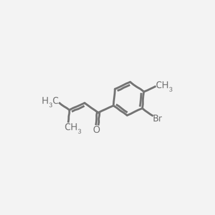 CC(C)=CC(=O)c1ccc(C)c(Br)c1